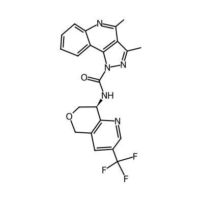 Cc1nc2ccccc2c2c1c(C)nn2C(=O)N[C@@H]1COCc2cc(C(F)(F)F)cnc21